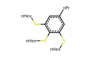 [CH2]CCc1cc(SCCCCCC)c(SCCCCCC)c(SCCCCCC)c1